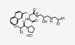 CCC(CC)CNCC(O)CNC(=O)[C@@H](Cc1ccc2ccccc2c1)NC(=O)[C@@H]1CCCN1C(=O)C(CC)CC.Cl